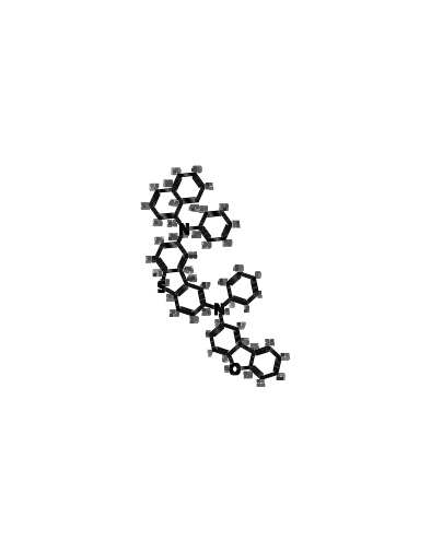 c1ccc(N(c2ccc3oc4ccccc4c3c2)c2ccc3sc4ccc(N(c5ccccc5)c5cccc6ccccc56)cc4c3c2)cc1